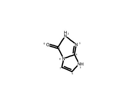 O=c1[nH]nc2[nH]ccn12